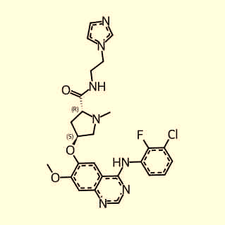 COc1cc2ncnc(Nc3cccc(Cl)c3F)c2cc1O[C@H]1C[C@H](C(=O)NCCn2ccnc2)N(C)C1